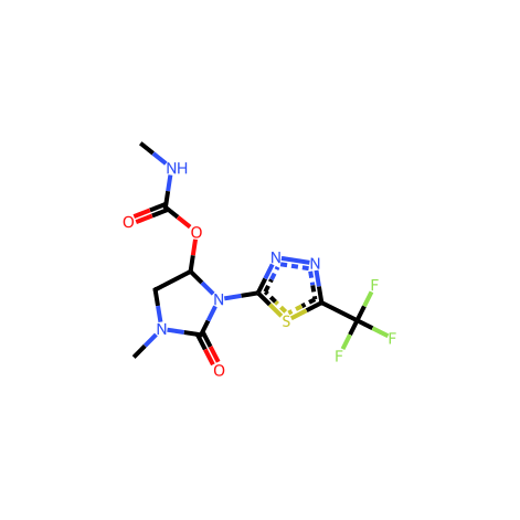 CNC(=O)OC1CN(C)C(=O)N1c1nnc(C(F)(F)F)s1